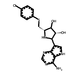 Nc1ncnc2c(C3N[C@H](CSc4ccc(Cl)cc4)C(O)[C@@H]3O)c[nH]c12